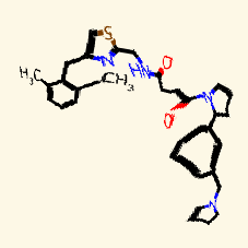 Cc1cccc(C)c1Cc1csc(CNC(=O)CCC(=O)N2CCCC2c2cccc(CN3CCCC3)c2)n1